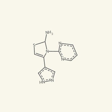 NC1SC=C(c2cn[nH]c2)N1c1ncccn1